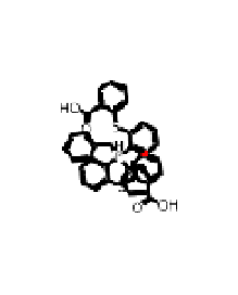 O=C(O)c1ccccc1Sc1ccccc1[PH](Cc1ccccc1)(c1ccccc1)c1ccccc1Sc1ccccc1C(=O)O